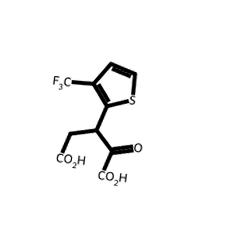 O=C(O)CC(C(=O)C(=O)O)c1sccc1C(F)(F)F